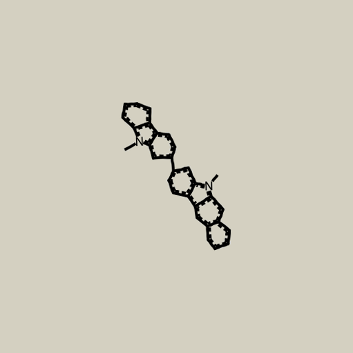 Cn1c2ccccc2c2ccc(-c3ccc4c5cc6ccccc6cc5n(C)c4c3)cc21